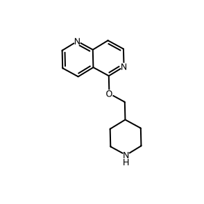 c1cnc2ccnc(OCC3CCNCC3)c2c1